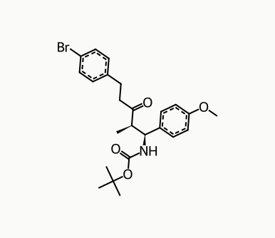 COc1ccc([C@@H](NC(=O)OC(C)(C)C)[C@@H](C)C(=O)CCc2ccc(Br)cc2)cc1